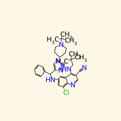 CC(C)(C)CNc1c(C#N)cnc2c(Cl)cc(N[C@@H](c3ccccc3)c3cn(C4CCN(C(C)(C)C)CC4)nn3)cc12